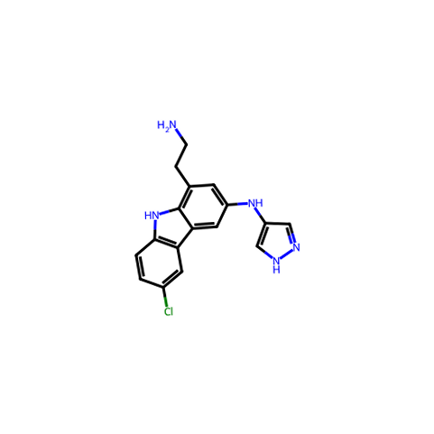 NCCc1cc(Nc2cn[nH]c2)cc2c1[nH]c1ccc(Cl)cc12